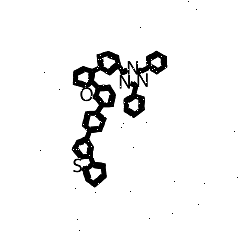 c1ccc(-c2nc(-c3ccccc3)nc(-c3cccc(-c4cccc5oc6c(-c7ccc(-c8ccc9sc%10ccccc%10c9c8)cc7)cccc6c45)c3)n2)cc1